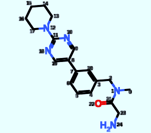 CN(Cc1cccc(-c2cnc(N3CCCCC3)nc2)c1)C(=O)CN